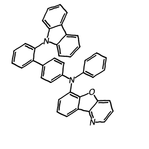 c1ccc(N(c2ccc(-c3ccccc3-n3c4ccccc4c4ccccc43)cc2)c2cccc3c2oc2cccnc23)cc1